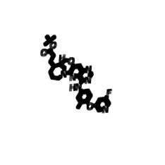 Cc1cc(Nc2ncnc3cc4c(nc23)N2CCCC(CCC(=O)OC(C)(C)C)[C@H](CO4)C2)ccc1Oc1cncc(F)c1